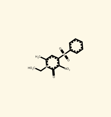 Cc1cc(S(=O)(=O)c2ccccc2)c([N+](=O)[O-])c(=O)n1CC(=O)O